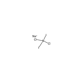 Cl[B-](Cl)(I)I.[Na+]